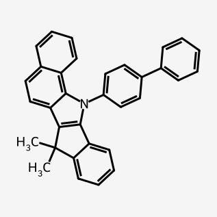 CC1(C)c2ccccc2-c2c1c1ccc3ccccc3c1n2-c1ccc(-c2ccccc2)cc1